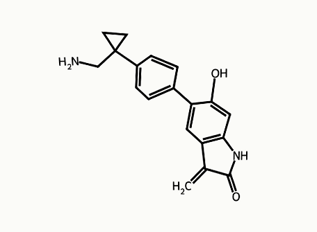 C=C1C(=O)Nc2cc(O)c(-c3ccc(C4(CN)CC4)cc3)cc21